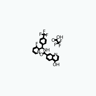 O=C(NC(c1ccc(C(F)(F)F)cc1)c1ncccc1F)c1ccc2c(O)ccnc2c1.O=C(O)C(F)(F)F